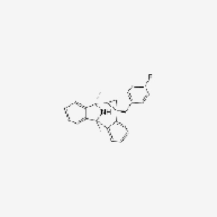 CC12N[C@@](C)(c3ccccc31)C1C[C@]1(Cc1ccc(F)cc1)c1ccccc12